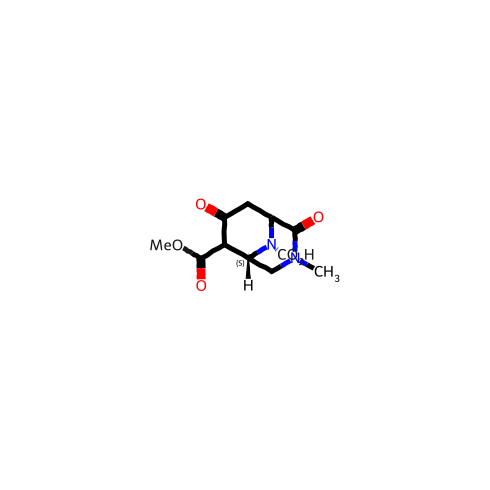 COC(=O)C1C(=O)CC2C(=O)N(C)C[C@H]1N2C(=O)O